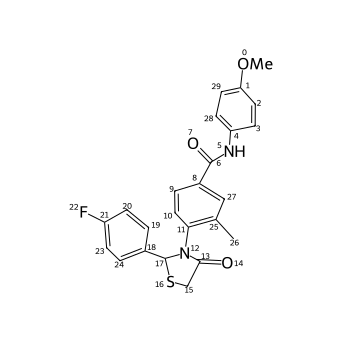 COc1ccc(NC(=O)c2ccc(N3C(=O)CSC3c3ccc(F)cc3)c(C)c2)cc1